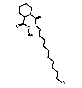 CCCCOC(=O)C1CCCCC1C(=O)OCCCCCCCCCCC(C)C